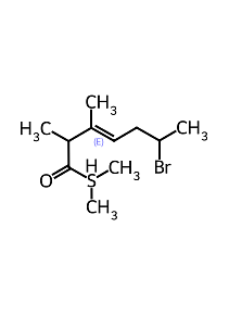 C/C(=C\CC(C)Br)C(C)C(=O)[SH](C)C